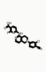 N#Cc1ccc(N2CCc3c(ccnc3Nc3ccc(C(=O)O)c(F)n3)C2)cc1Cl